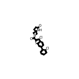 O=C1CCC2(CN(C(=O)c3sc4cc(-c5ccccc5Cl)ccc4c3Cl)C2)N1